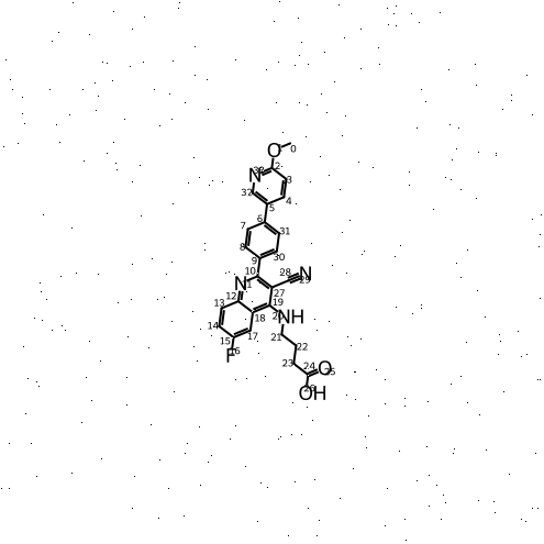 COc1ccc(-c2ccc(-c3nc4ccc(F)cc4c(NCCCC(=O)O)c3C#N)cc2)cn1